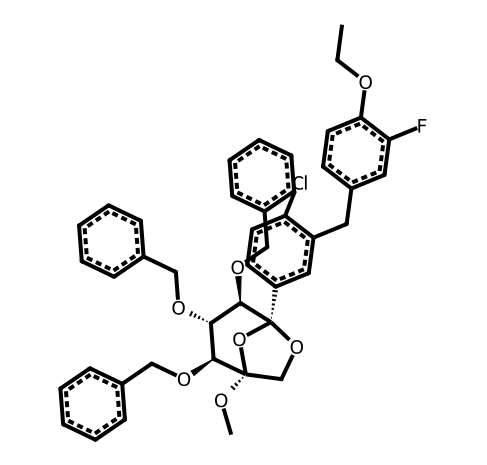 CCOc1ccc(Cc2cc([C@]34OC[C@](OC)(O3)[C@@H](OCc3ccccc3)[C@H](OCc3ccccc3)[C@H]4OCc3ccccc3)ccc2Cl)cc1F